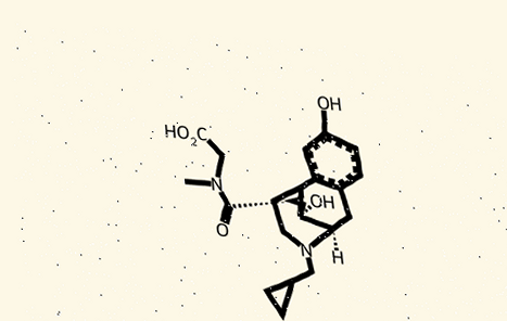 CN(CC(=O)O)C(=O)[C@@H]1C[C@]23CCN(CC4CC4)[C@H](Cc4ccc(O)cc42)[C@]3(O)C1